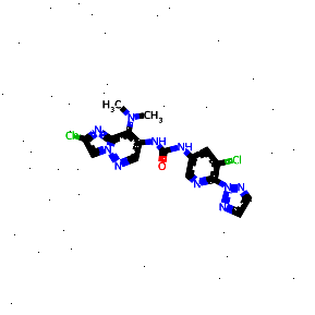 CN(C)c1c(NC(=O)Nc2cnc(-n3nccn3)c(Cl)c2)cnn2cc(Cl)nc12